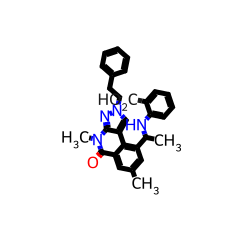 Cc1cc(C(C)Nc2ccccc2C(=O)O)c2c(c1)c(=O)n(C)c1nn(CCc3ccccc3)cc21